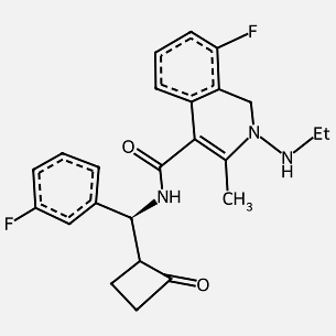 CCNN1Cc2c(F)cccc2C(C(=O)N[C@H](c2cccc(F)c2)C2CCC2=O)=C1C